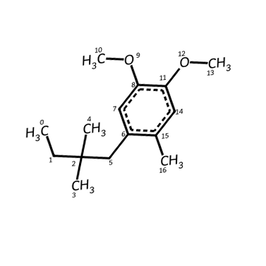 CCC(C)(C)Cc1cc(OC)c(OC)cc1C